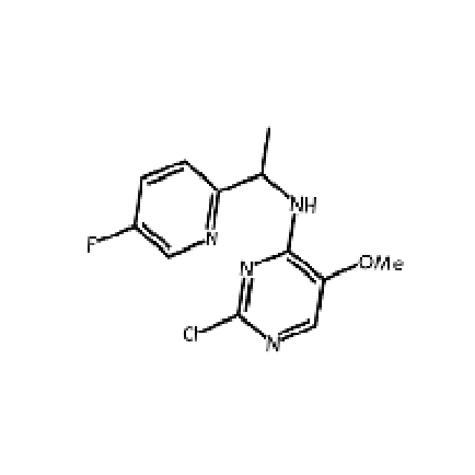 COc1cnc(Cl)nc1NC(C)c1ccc(F)cn1